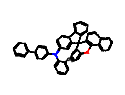 Cc1ccccc1N(c1ccc(-c2ccccc2)cc1)c1ccc2c(c1)C1(c3ccccc3Oc3c1ccc1ccccc31)c1ccccc1-2